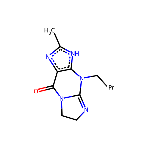 Cc1nc2c([nH]1)N(CC(C)C)C1=NCCN1C2=O